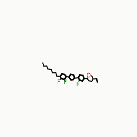 C=CC1CCC(c2ccc(-c3ccc(-c4ccc(CCCCCCCC)c(F)c4F)cc3)c(F)c2)OC1